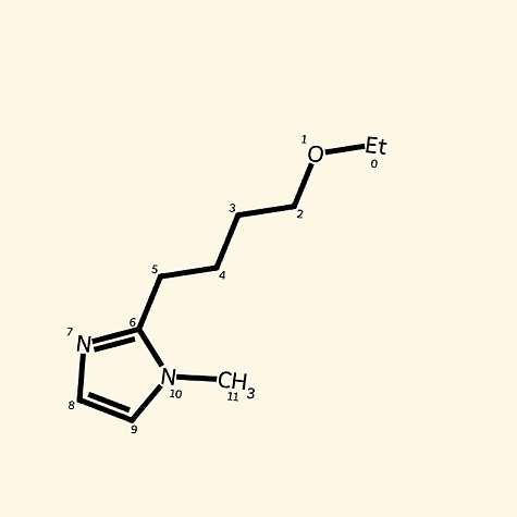 CCOCCCCc1nccn1C